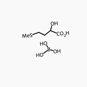 CSCCC(O)C(=O)O.OB(O)O